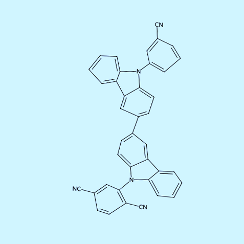 N#Cc1cccc(-n2c3ccccc3c3cc(-c4ccc5c(c4)c4ccccc4n5-c4cc(C#N)ccc4C#N)ccc32)c1